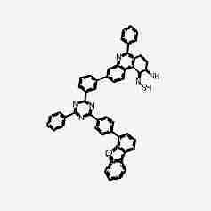 N=C1C=Cc2c(-c3ccccc3)nc3cc(-c4cccc(-c5nc(-c6ccccc6)nc(-c6ccc(-c7cccc8c7oc7ccccc78)cc6)n5)c4)ccc3c2/C1=N/S